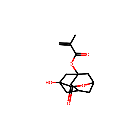 C=C(C)C(=O)OC12CC3CC(C1)OC(=O)C(O)(C3)C2